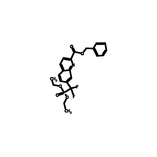 CCOP(=O)(OCC)C(F)(F)c1ccc2ccc(C(=O)OCc3ccccc3)nc2c1